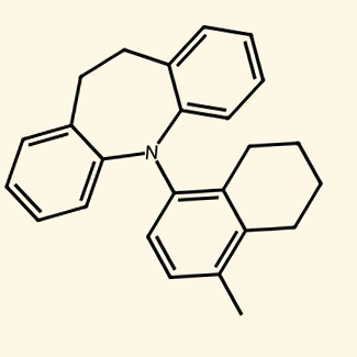 Cc1ccc(N2c3ccccc3CCc3ccccc32)c2c1CCCC2